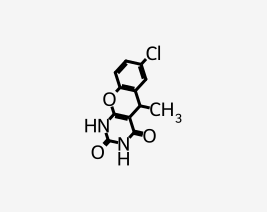 CC1c2cc(Cl)ccc2Oc2[nH]c(=O)[nH]c(=O)c21